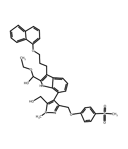 CCOC(O)c1[nH]c2c(-c3c(COc4ccc(S(C)(=O)=O)cc4)nn(C)c3CO)cccc2c1CCCOc1cccc2ccccc12